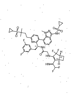 Cn1nc(NS(=O)(=O)C2CC2)c2cccc(-c3ccc(CCC(C)(C)S(=O)(=O)C4CC4)nc3[C@H](Cc3cc(F)cc(F)c3)NC(=O)CNC3=C(C(=N)C(F)F)[C@H]4CC[C@H]4C3(F)F)c21